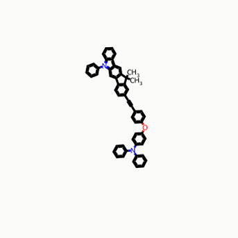 CC1(C)c2cc(C#Cc3ccc(Oc4ccc(N(c5ccccc5)c5ccccc5)cc4)cc3)ccc2-c2cc3c(cc21)c1ccccc1n3-c1ccccc1